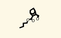 CCCCOC(=O)C1C2CCC(C2)C1C=O